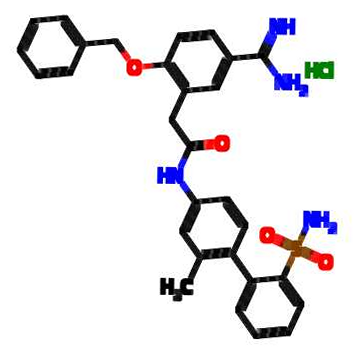 Cc1cc(NC(=O)Cc2cc(C(=N)N)ccc2OCc2ccccc2)ccc1-c1ccccc1S(N)(=O)=O.Cl